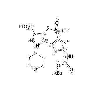 CCOC(=O)c1nn(C2CCOCC2)c2c1CS(=O)(=O)c1sc(NC(=O)OC(C)(C)C)nc1-2